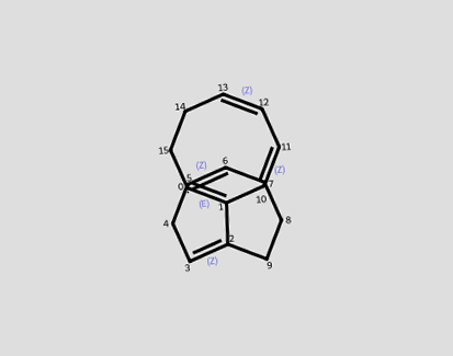 [C]1=C(/C2=C\C/C=C\CCC2)\C=C/C=C\CC/1